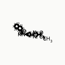 CCOC(=O)c1cnc(N2CC3C(C2)C3NS(=O)(=O)c2ccc3ccccc3c2)nc1